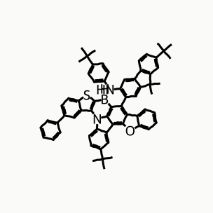 CC(C)(C)c1ccc(Nc2cc3c(cc2-c2c4c5c(c6cc(C(C)(C)C)ccc6n5-c5c(sc6ccc(-c7ccccc7)cc56)B4)c4oc5ccccc5c24)C(C)(C)c2cc(C(C)(C)C)ccc2-3)cc1